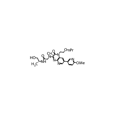 CCCOCCn1c(=O)c(N(C)CC(=O)N[C@H](C)CO)nc2ncc(-c3ccc(OC)nc3)cc21